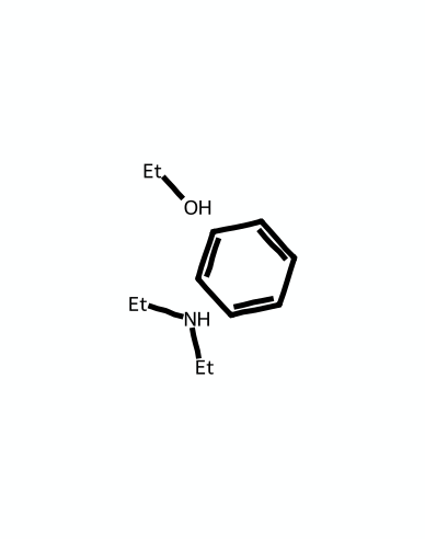 CCNCC.CCO.c1ccccc1